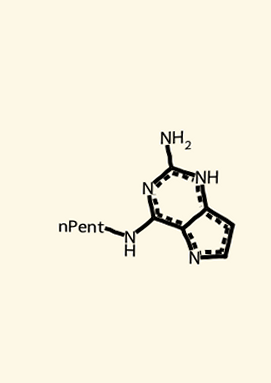 CCCCCNc1nc(N)[nH]c2ccnc1-2